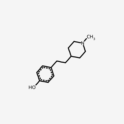 CN1CCC(CCc2ccc(O)cc2)CC1